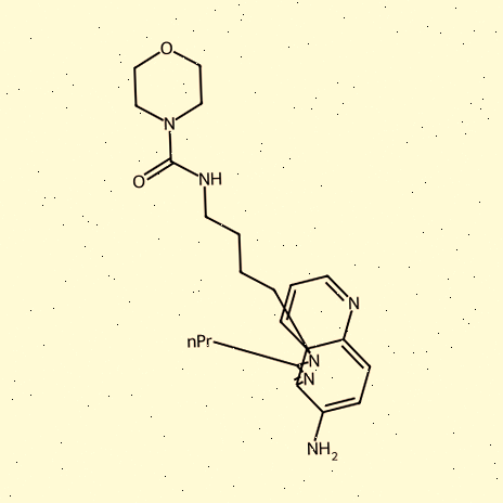 CCCC1N=C2C(N)=CC=C3N=CC=CC32N1CCCCNC(=O)N1CCOCC1